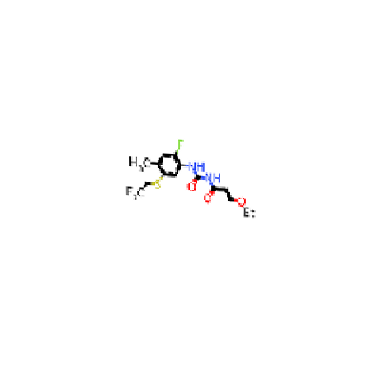 CCOC=CC(=O)NC(=O)Nc1cc(SCC(F)(F)F)c(C)cc1F